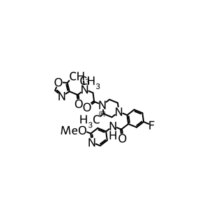 COc1cc(NC(=O)c2cc(F)ccc2N2CCN(C(=O)CN(C)C(=O)c3ncoc3C)[C@H](C)C2)ccn1